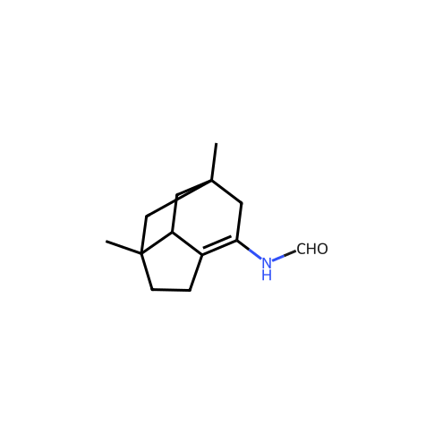 CC12CC(NC=O)=C3CCC(C)(C1)C3C2